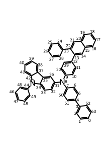 c1ccc(-c2ccc(N(c3ccc(-c4cc5ccccc5cc4-c4ccccc4)cc3)c3ccc4c(c3)c3ccccc3n4-c3ccccc3)cc2)cc1